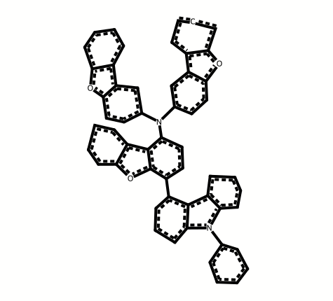 c1ccc(-n2c3ccccc3c3c(-c4ccc(N(c5ccc6oc7ccccc7c6c5)c5ccc6oc7ccccc7c6c5)c5c4oc4ccccc45)cccc32)cc1